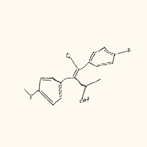 CSc1ccc(C(=C(Cl)c2ccc(F)cc2)C(C)O)cc1